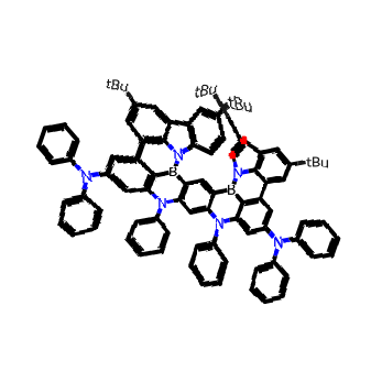 CC(C)(C)c1cc2c3c(c1)c1c(n3B3c4cc5c(cc4N(c4ccccc4)c4cc(N(c6ccccc6)c6ccccc6)cc-2c43)N(c2ccccc2)c2cc(N(c3ccccc3)c3ccccc3)cc3c2B5n2c4ccc(C(C)(C)C)cc4c4cc(C(C)(C)C)cc-3c42)C=CC(C(C)(C)C)C1